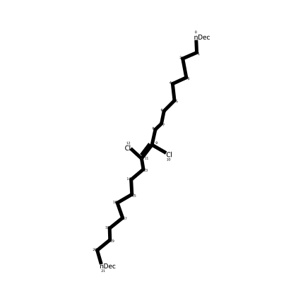 CCCCCCCCCCCCCCCCCCC(Cl)=C(Cl)CCCCCCCCCCCCCCCCCC